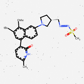 COc1c(C(C)(C)C)cc(-c2ccc(C)[nH]c2=O)c2ccc(N3CC[C@H](CN=NS(C)(=O)=O)C3)cc12